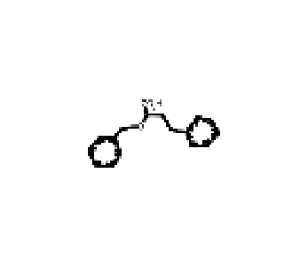 O=C(O)C(CCc1ccccc1)OCc1ccccc1